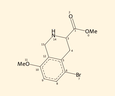 COC(=O)C1Cc2c(Br)ccc(OC)c2CN1